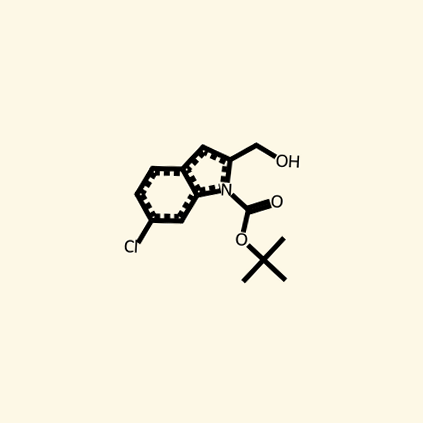 CC(C)(C)OC(=O)n1c(CO)cc2ccc(Cl)cc21